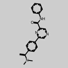 C=C(c1ccc(-c2cncc(C(=O)Nc3ccccc3)n2)cc1)N(C)C